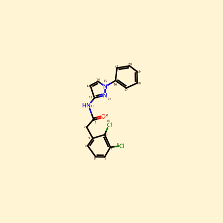 O=C(Cc1cccc(Cl)c1Cl)Nc1ccn(-c2ccccc2)n1